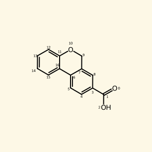 O=C(O)c1ccc2c(c1)COc1ccccc1-2